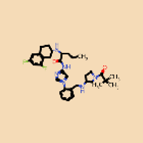 CCCC(N[C@H]1CCc2cc(F)cc(F)c2C1)C(=O)Nc1cn(-c2ccccc2CNC2CCN(C(=O)C(C)(C)C)C2)cn1